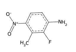 Cc1c([N+](=O)[O-])ccc(N)c1F